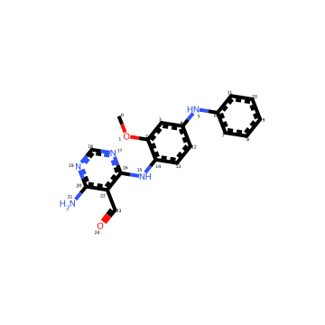 COc1cc(Nc2ccccc2)ccc1Nc1ncnc(N)c1C=O